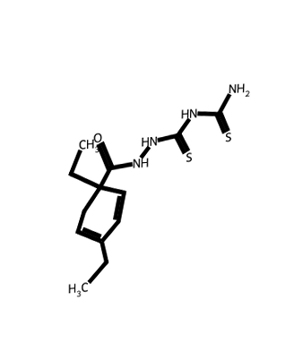 CCC1=CCC(CC)(C(=O)NNC(=S)NC(N)=S)C=C1